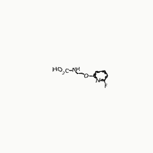 O=C(O)NCCOc1cccc(F)n1